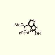 CCCCCn1c(O)nc2nccc(C(=O)OC)c21